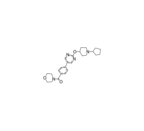 O=C(c1ccc(-c2cnc(OC3CCN(C4CCCC4)CC3)nc2)cc1)N1CCOCC1